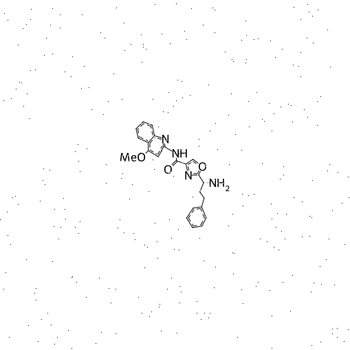 COc1cc(NC(=O)c2coc([C@H](N)CCc3ccccc3)n2)nc2ccccc12